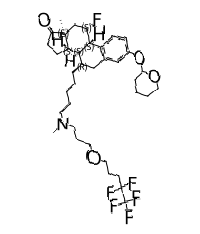 CN(CCCCC[C@@H]1Cc2cc(OC3CCCCO3)ccc2[C@@H]2[C@@H]1[C@@H]1CCC(=O)[C@@]1(C)C[C@@H]2F)CCCOCCCC(F)(F)C(F)(F)F